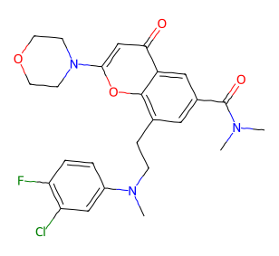 CN(C)C(=O)c1cc(CCN(C)c2ccc(F)c(Cl)c2)c2oc(N3CCOCC3)cc(=O)c2c1